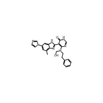 Cc1cc(-n2ccnc2)cc2[nH]c(-c3c(N(CO)CCc4ccccc4)nc[nH]c3=O)nc12